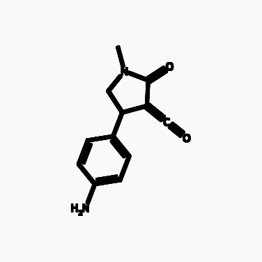 CN1CC(c2ccc(N)cc2)C(=C=O)C1=O